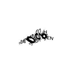 CCCCOc1ccc(S(=O)(=O)C2CCN(Cc3ccc(C#N)cc3)C(C(=O)O)C2)cc1